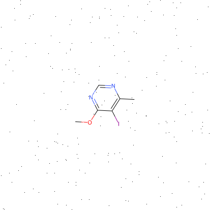 COc1ncnc(C)c1I